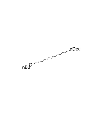 [CH2]CCCCCCCCCCCCCCCCCCCCCCCCCCOCCCC